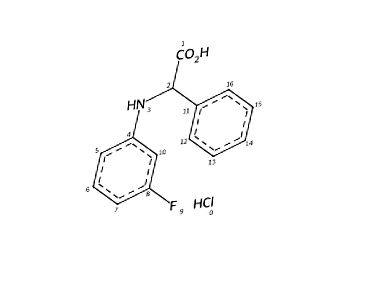 Cl.O=C(O)C(Nc1cccc(F)c1)c1ccccc1